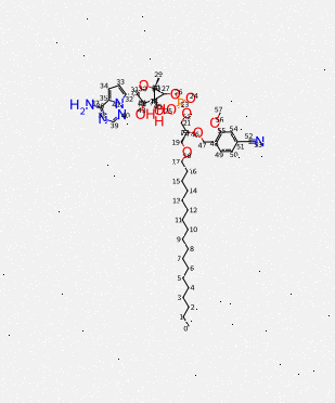 CCCCCCCCCCCCCCCCCCOC[C@@H](COP(=O)(O)OC1[C@@]2(C)O[C@@H](c3ccc4c(N)ncnn34)[C@H](O)[C@@]12O)OCc1ccc(C#N)cc1OC